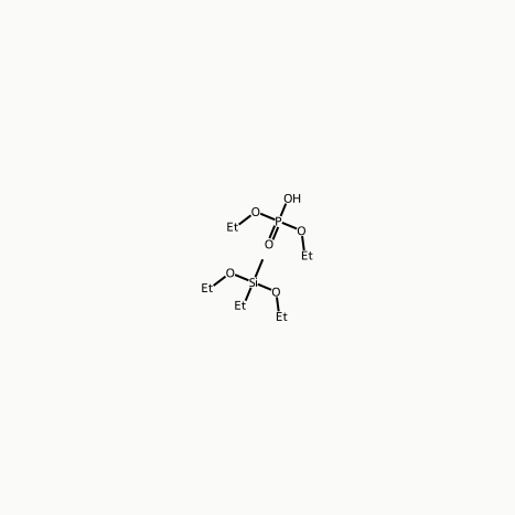 CCOP(=O)(O)OCC.CCO[Si](C)(CC)OCC